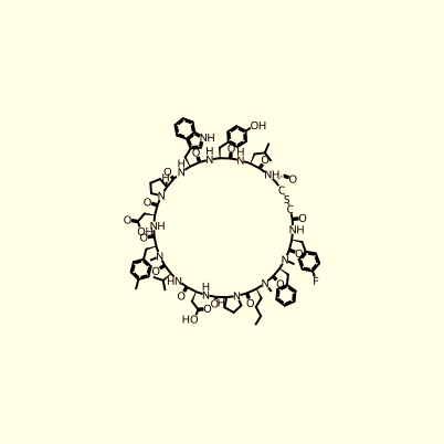 CCCC[C@H]1C(=O)N2CCC[C@@H]2C(=O)N[C@@H](CC(=O)O)C(=O)N[C@@H](C(C)C)C(=O)N(C)[C@@H](Cc2ccc(C)cc2)C(=O)N[C@@H](CC(=O)O)C(=O)N2CCC[C@@H]2C(=O)N[C@@H](Cc2c[nH]c3ccccc23)C(=O)N[C@@H](Cc2ccc(O)cc2)C(=O)N[C@@H](CC(C)C)C(=O)N[C@H](C=O)CSCC(=O)N[C@@H](Cc2ccc(F)cc2)C(=O)N(C)[C@@H](Cc2ccccc2)C(=O)N1C